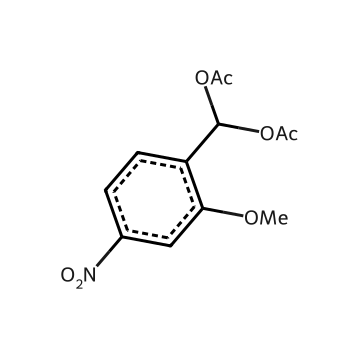 COc1cc([N+](=O)[O-])ccc1C(OC(C)=O)OC(C)=O